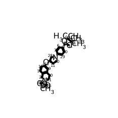 CC1(C)OP(c2ccc(N3CCC(Oc4ccc5c(c4)CCN(S(C)(=O)=O)C5)C3)cc2)OC1(C)C